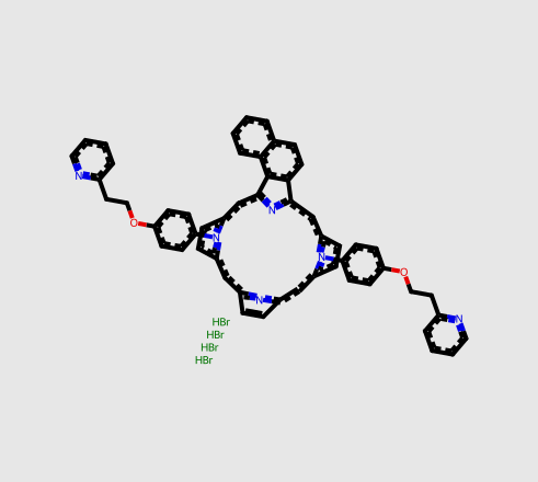 Br.Br.Br.Br.C1=Cc2cc3ccc(cc4nc(cc5ccc(cc1n2)n5-c1ccc(OCCc2ccccn2)cc1)-c1ccc2ccccc2c1-4)n3-c1ccc(OCCc2ccccn2)cc1